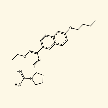 CCCCOc1ccc2cc(C(=N/OCC)/N=C/[C@@H]3CCCN3C(=N)N)ccc2c1